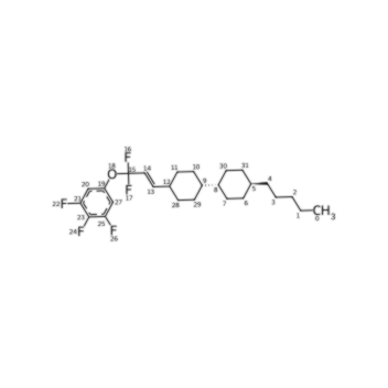 CCCCC[C@H]1CC[C@H](C2CCC(C=CC(F)(F)Oc3cc(F)c(F)c(F)c3)CC2)CC1